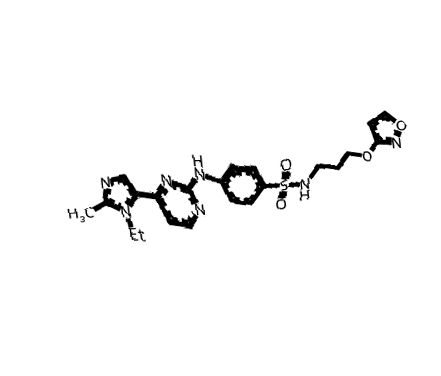 CCn1c(-c2ccnc(Nc3ccc(S(=O)(=O)NCCCOc4ccon4)cc3)n2)cnc1C